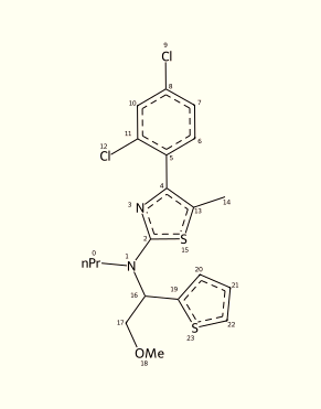 CCCN(c1nc(-c2ccc(Cl)cc2Cl)c(C)s1)C(COC)c1cccs1